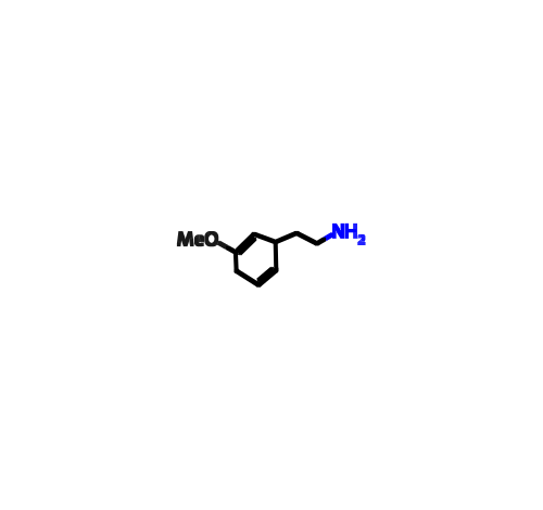 COC1=CC(CCN)C=CC1